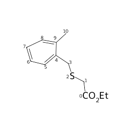 CCOC(=O)CSCc1ccccc1C